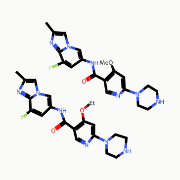 CCOc1cc(N2CCNCC2)ncc1C(=O)Nc1cc(F)c2nc(C)cn2c1.COc1cc(N2CCNCC2)ncc1C(=O)Nc1cc(F)c2nc(C)cn2c1